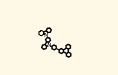 C1=Cc2c(n(-c3ccc4c(c3)c3ccccc3n4-c3ccc(-c4ccc5c6ccccc6c6ccccc6c5c4)cc3)c3ccccc23)CC1